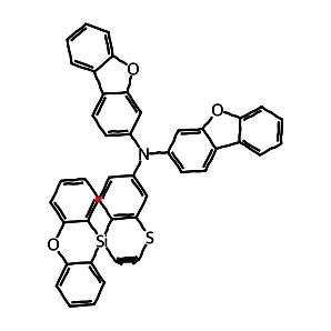 c1ccc2c(c1)Oc1ccccc1[Si]21c2ccccc2Sc2cc(N(c3ccc4c(c3)oc3ccccc34)c3ccc4c(c3)oc3ccccc34)ccc21